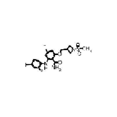 CS(=O)(=O)N1CC(COc2cc(F)cc(Nc3ccc(I)cc3F)c2C(N)=O)C1